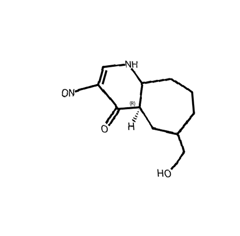 O=NC1=CNC2CCCC(CO)C[C@H]2C1=O